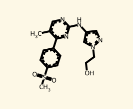 Cc1cnc(Nc2cnn(CCO)c2)nc1-c1ccc(S(C)(=O)=O)cc1